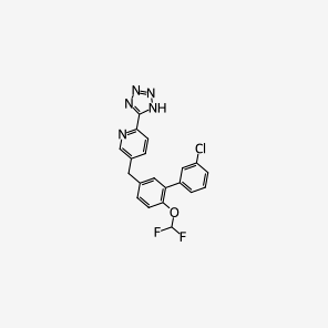 FC(F)Oc1ccc(Cc2ccc(-c3nnn[nH]3)nc2)cc1-c1cccc(Cl)c1